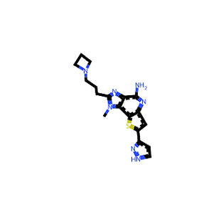 Cn1c(CCCN2CCC2)nc2c(N)nc3cc(-c4cc[nH]n4)sc3c21